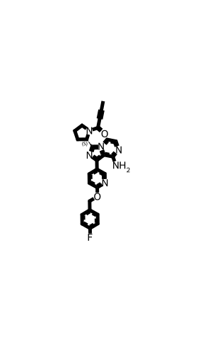 CC#CC(=O)N1CCC[C@H]1c1nc(-c2ccc(OCc3ccc(F)cc3)nc2)c2c(N)nccn12